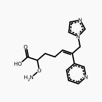 NOC(CC/C=C(/Cn1ccnc1)c1cccnc1)C(=O)O